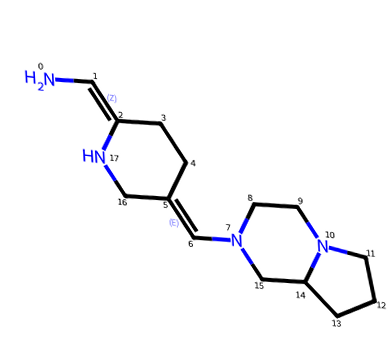 N/C=C1/CC/C(=C\N2CCN3CCCC3C2)CN1